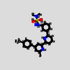 Cc1cc(-c2ccc(C(F)(F)F)cc2)cc(-c2cccc(-c3cccc(NS(=O)(=O)N(C)C)c3)n2)n1